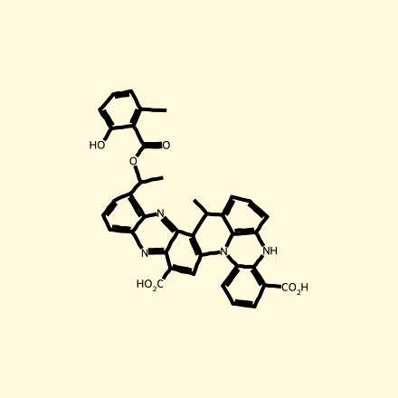 Cc1cccc(O)c1C(=O)OC(C)c1cccc2nc3c(C(=O)O)cc4c(c3nc12)C(C)c1cccc2c1N4c1cccc(C(=O)O)c1N2